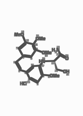 COc1ccc(/C=C\c2cc(OC)c(OC)c(OC)c2)cc1N[C@@H](CO)C(N)=O.Cl